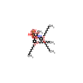 CCCCCCCCCCOc1ccc(C(=O)N[C@@H]2[C@@H](OC)O[C@H](C(O)S(=O)(=O)O)[C@](O)(S(=O)(=O)O)[C@@H]2OC(=O)c2ccc(OCCCCCCCCCC)c(OCCCCCCCCCC)c2)cc1OCCCCCCCCCC